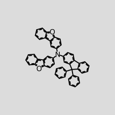 c1ccc(C2(c3ccccc3)c3ccccc3-c3ccc(N(c4ccc5oc6ccccc6c5c4)c4ccc5oc6ccccc6c5c4)cc32)cc1